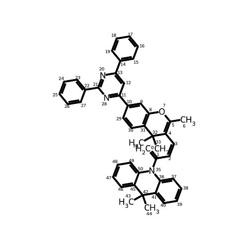 C=C(/C=C\C1=C(C)Oc2cc(-c3cc(-c4ccccc4)nc(-c4ccccc4)n3)ccc2C1(C)C)N1c2ccccc2C(C)(C)c2ccccc21